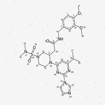 COc1ccc(CNC(=O)CC2CN(S(=O)(=O)N(C)C)CCN2c2cc(C(C)C)nc(-n3ccnc3)n2)cc1OC